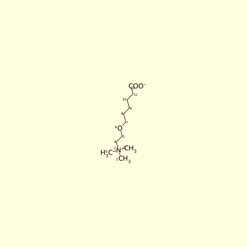 C[N+](C)(C)CCOCCCCCC(=O)[O-]